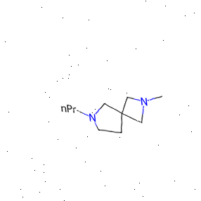 CCCN1CCC2(CN(C)C2)C1